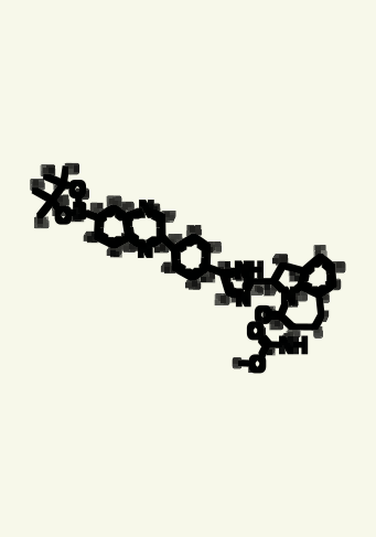 COC(=O)N[C@H]1CCc2cccc3c2N(C1=O)C(c1ncc(-c2ccc(-c4cnc5cc(B6OC(C)(C)C(C)(C)O6)ccc5n4)cc2)[nH]1)C3